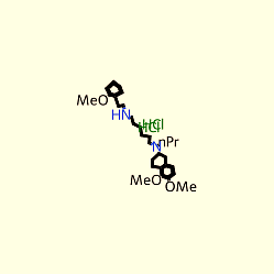 CCCN(CCCCCCNCCc1ccccc1OC)[C@H]1CCc2c(ccc(OC)c2OC)C1.Cl.Cl